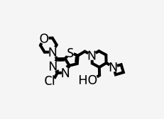 OCC1CN(Cc2cc3nc(Cl)nc(N4CCOCC4)c3s2)CCC1N1CCC1